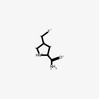 NC(=O)C1CC(CF)CN1